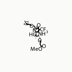 COC(=O)CCOC[C@@H](Nc1cnn(COCC[Si](C)(C)C)c(=O)c1C(F)(F)F)[C@H](C)O